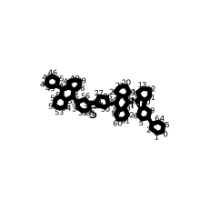 c1ccc(-c2ccc3c(c2)c2ccccc2n3-c2c3ccccc3c(-c3ccc4c(c3)sc3ccc(-c5c6ccccc6c(-c6ccccc6)c6ccccc56)cc34)c3ccccc23)cc1